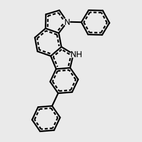 c1ccc(-c2ccc3[nH]c4c(ccc5ccn(-c6ccccc6)c54)c3c2)cc1